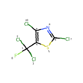 FC(Cl)(Cl)c1sc(Cl)nc1Cl